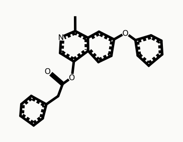 Cc1ncc(OC(=O)Cc2ccccc2)c2ccc(Oc3ccccc3)cc12